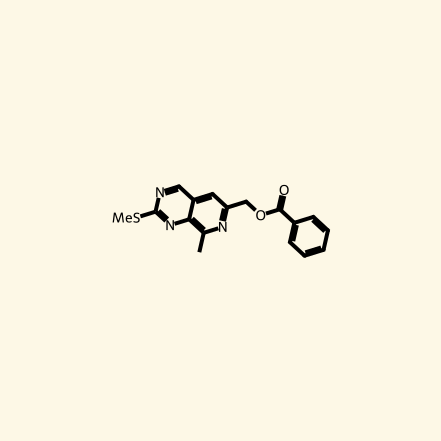 CSc1ncc2cc(COC(=O)c3ccccc3)nc(C)c2n1